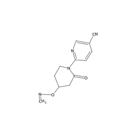 C=NOC1CCN(c2ccc(C#N)cn2)C(=O)C1